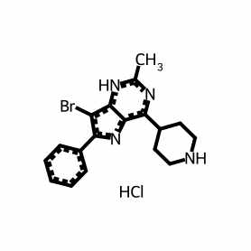 Cc1nc(C2CCNCC2)c2nc(-c3ccccc3)c(Br)c-2[nH]1.Cl